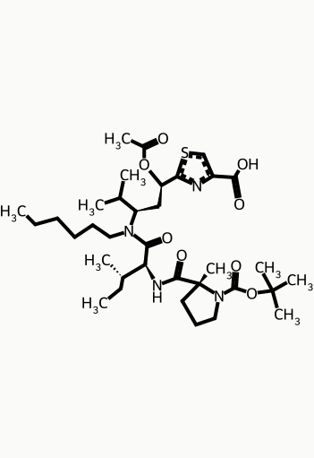 CCCCCCN(C(=O)[C@@H](NC(=O)[C@@]1(C)CCCN1C(=O)OC(C)(C)C)[C@@H](C)CC)[C@H](C[C@@H](OC(C)=O)c1nc(C(=O)O)cs1)C(C)C